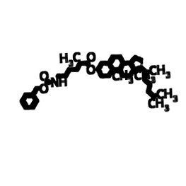 CC(C)CCC[C@@H](C)[C@H]1CCC2C3CC=C4C[C@@H](OC(=O)[C@@H](C)CCCCNC(=O)OCc5ccccc5)CC[C@]4(C)C3CC[C@@]21C